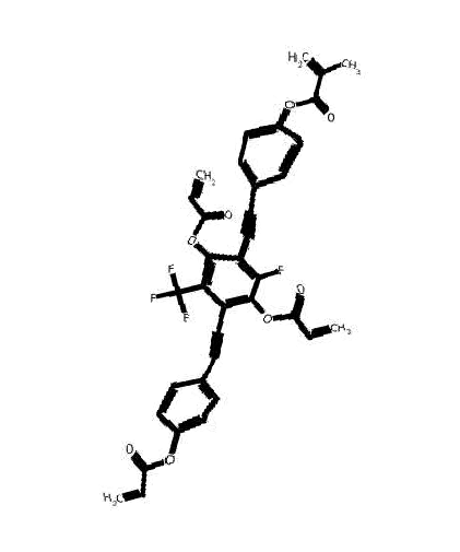 C=CC(=O)Oc1ccc(C#Cc2c(OC(=O)C=C)c(F)c(C#Cc3ccc(OC(=O)C(=C)C)cc3)c(OC(=O)C=C)c2C(F)(F)F)cc1